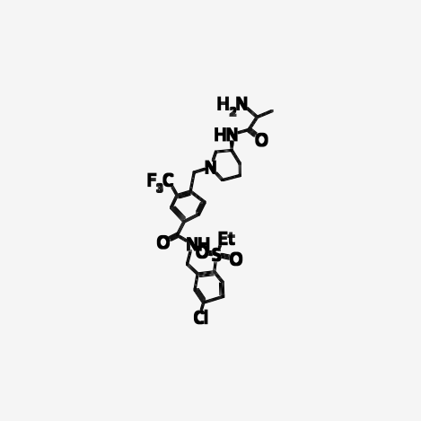 CCS(=O)(=O)c1ccc(Cl)cc1CNC(=O)c1ccc(CN2CCC[C@H](NC(=O)C(C)N)C2)c(C(F)(F)F)c1